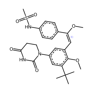 CO/C(=C/c1cc(N2CCC(=O)NC2=O)cc(C(C)(C)C)c1OC)c1ccc(NS(C)(=O)=O)cc1